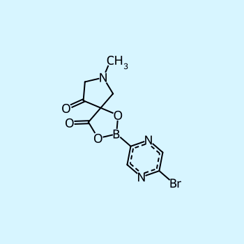 CN1CC(=O)C2(C1)OB(c1cnc(Br)cn1)OC2=O